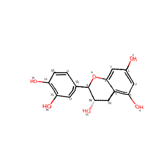 Oc1cc(O)c2c(c1)OC(c1ccc(O)c(O)c1)[C@@H](O)C2